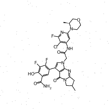 CC1Cc2nc3c(c(-c4cc(C(N)=O)c(O)c(F)c4F)cn3CC(=O)Nc3cc(N4CCOC[C@@H]4C)nc(F)c3Cl)c(=O)n2C1